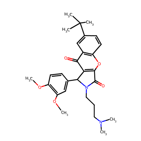 COc1ccc(C2c3c(oc4ccc(C(C)(C)C)cc4c3=O)C(=O)N2CCCN(C)C)cc1OC